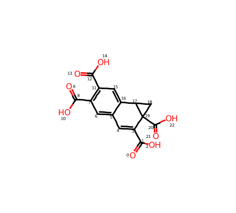 O=C(O)C1=Cc2cc(C(=O)O)c(C(=O)O)cc2C2CC12C(=O)O